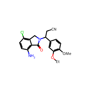 CCOc1cc(C(CC#N)N2Cc3c(Cl)ccc(N)c3C2=O)ccc1OC